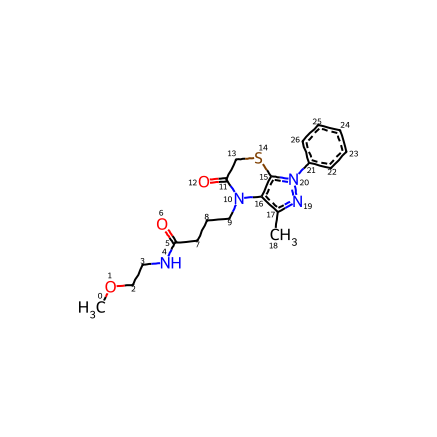 COCCNC(=O)CCCN1C(=O)CSc2c1c(C)nn2-c1ccccc1